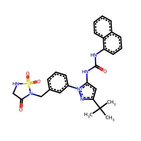 CC(C)(C)c1cc(NC(=O)Nc2cccc3ccccc23)n(-c2cccc(CN3C(=O)CNS3(=O)=O)c2)n1